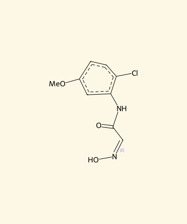 COc1ccc(Cl)c(NC(=O)/C=N\O)c1